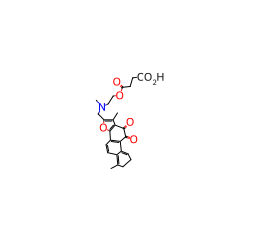 CC1=c2ccc3c(c2=CCC1)C(=O)C(=O)c1c-3oc(CN(C)CCOC(=O)CCC(=O)O)c1C